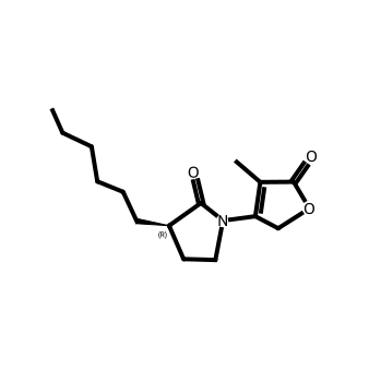 CCCCCC[C@@H]1CCN(C2=C(C)C(=O)OC2)C1=O